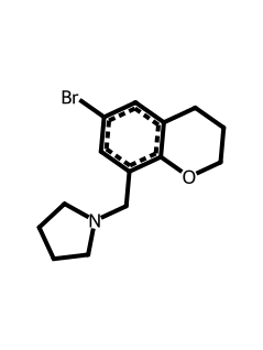 Brc1cc2c(c(CN3CCCC3)c1)OCCC2